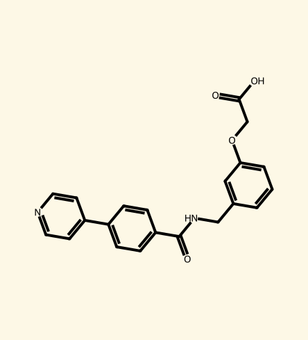 O=C(O)COc1cccc(CNC(=O)c2ccc(-c3ccncc3)cc2)c1